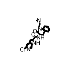 CN(C)CCN1C(=O)C(NC(=O)c2cc3cc(Cl)ncc3[nH]2)Cc2ccccc21